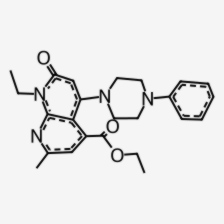 CCOC(=O)c1cc(C)nc2c1c(N1CCN(c3ccccc3)CC1)cc(=O)n2CC